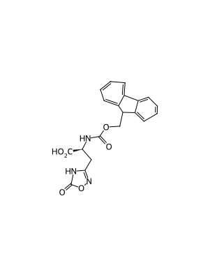 O=C(N[C@@H](Cc1noc(=O)[nH]1)C(=O)O)OCC1c2ccccc2-c2ccccc21